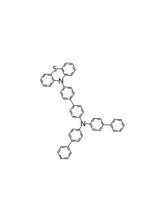 c1ccc(-c2ccc(N(c3ccc(-c4ccccc4)cc3)c3ccc(-c4ccc(N5c6ccccc6Sc6ccccc65)cc4)cc3)cc2)cc1